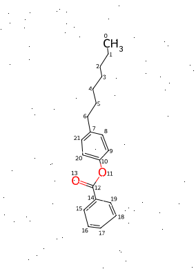 CCCCCCCc1ccc(OC(=O)c2ccccc2)cc1